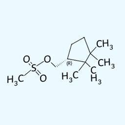 CC1(C)CC[C@@H](COS(C)(=O)=O)C1(C)C